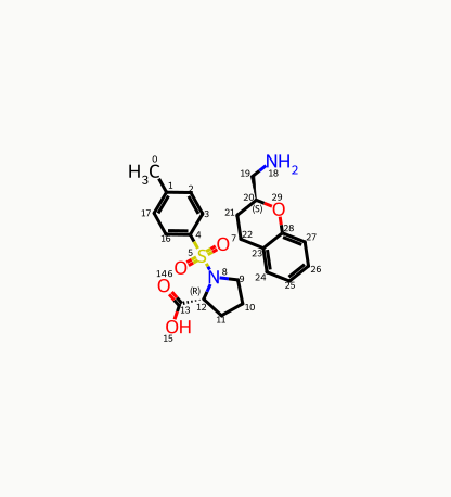 Cc1ccc(S(=O)(=O)N2CCC[C@@H]2C(=O)O)cc1.NC[C@@H]1CCc2ccccc2O1